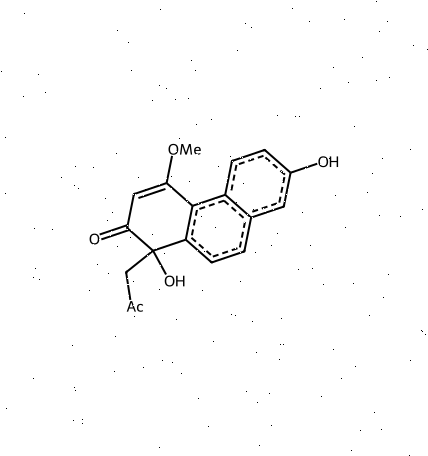 COC1=CC(=O)C(O)(CC(C)=O)c2ccc3cc(O)ccc3c21